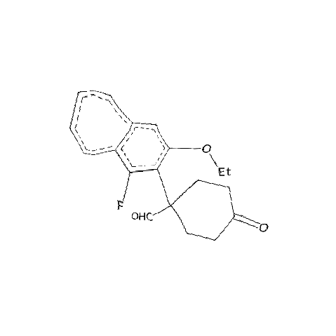 CCOc1cc2ccccc2c(F)c1C1(C=O)CCC(=O)CC1